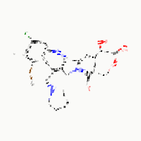 Cc1c(F)cc2nc3c(c4c2c1SCC4N1CCCC1)Cn1c-3cc2c(c1=O)COC(=O)C2O